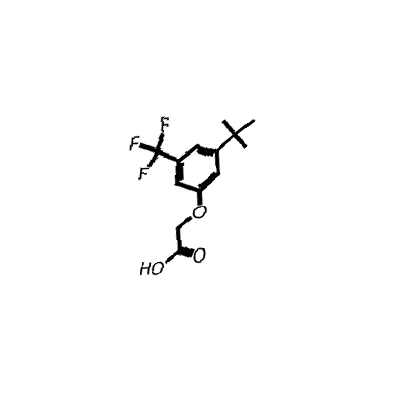 CC(C)(C)c1cc(OCC(=O)O)cc(C(F)(F)F)c1